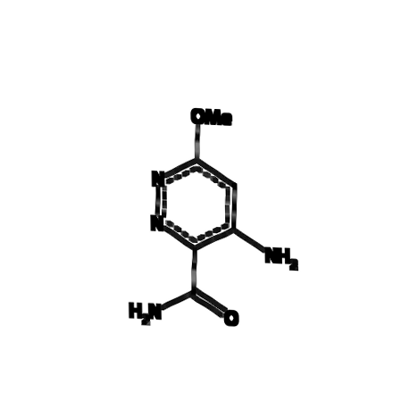 COc1cc(N)c(C(N)=O)nn1